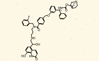 O=C(N[C@@H](c1ccccc1)c1cccc(OCc2ccc(C(=O)N(CCCNCC(O)c3ccc(O)c4[nH]c(=O)ccc34)Cc3ccccc3F)cc2)c1)OC1CN2CCC1CC2